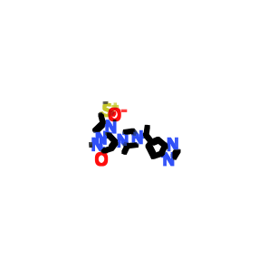 CC(c1ccc2nccnc2c1)N1CCN(c2cc(=O)n(C)n3cc(C[S+](C)[O-])nc23)C(C)C1